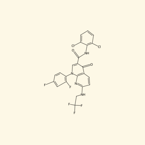 O=C(Nc1c(Cl)cccc1Cl)c1cn(-c2ccc(F)cc2F)c2nc(NCC(F)(F)F)ccc2c1=O